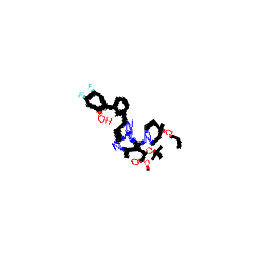 C=CCOC1(C)CCN(c2c([C@H](OC(C)(C)C)C(=O)OC)c(C)nc3cc(-c4cccc(-c5cc(F)c(F)cc5O)c4)nn23)CC1